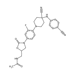 CC(=O)NCC1CN(c2ccc(N3CCC(C#N)(Nc4ccc(C#N)cc4)CC3)c(F)c2)C(=O)O1